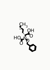 CSCC[C@H](C(=O)O)N(OCc1ccccc1)C(=O)O